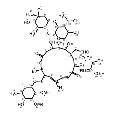 CC[C@H]1OC(=O)C[C@@H](O)[C@H](C)C(O[C@@H]2O[C@H](C)[C@@H](O[C@H]3C[C@@](C)(O)[C@@H](O)[C@H](C)O3)[C@H](N(C)C)[C@H]2O)[C@@H](CC=O)C[C@@H](C)C(=O)/C=C/C(C)=C/C1CO[C@@H]1O[C@H](C)[C@@H](O)[C@@H](OC)[C@H]1OC.O=C(O)[C@H](O)[C@@H](O)C(=O)O